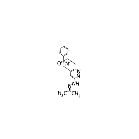 CC(C)=NNc1cc2c(nn1)CC1CCCC2N1C(=O)c1ccccc1